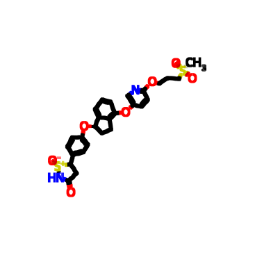 CS(=O)(=O)CCCOc1ccc(Oc2cccc3c2CC[C@H]3Oc2ccc(C3CC(=O)N[S+]3[O-])cc2)cn1